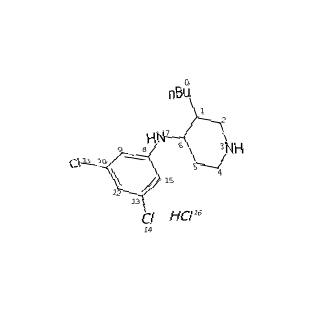 CCCCC1CNCCC1Nc1cc(Cl)cc(Cl)c1.Cl